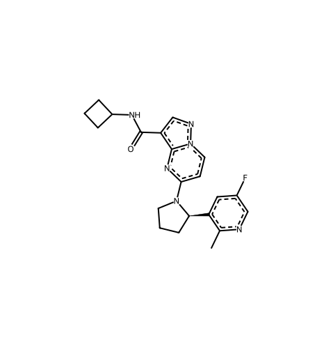 Cc1ncc(F)cc1[C@H]1CCCN1c1ccn2ncc(C(=O)NC3CCC3)c2n1